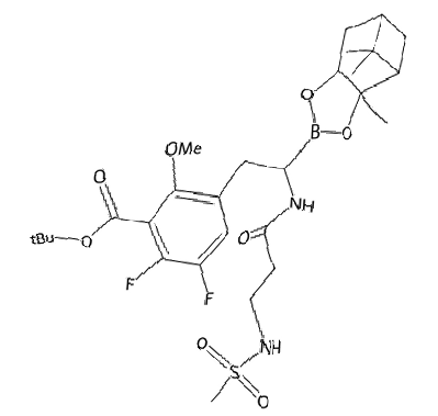 COc1c(CC(NC(=O)CCNS(C)(=O)=O)B2OC3CC4CC(C4(C)C)C3(C)O2)cc(F)c(F)c1C(=O)OC(C)(C)C